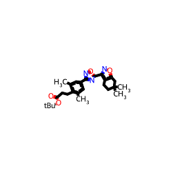 Cc1cc(-c2noc(-c3noc4c3CCC(C)(C)C4)n2)cc(C)c1CCC(=O)OC(C)(C)C